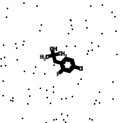 CC(C)(O)Cc1ccc(Cl)cc1F